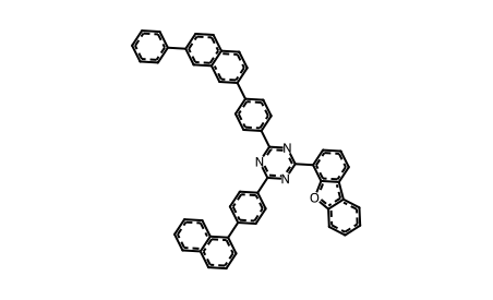 c1ccc(-c2ccc3ccc(-c4ccc(-c5nc(-c6ccc(-c7cccc8ccccc78)cc6)nc(-c6cccc7c6oc6ccccc67)n5)cc4)cc3c2)cc1